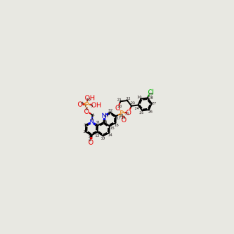 O=c1ccn(COP(=O)(O)O)c2c1ccc1cc(P3(=O)OCCC(c4cccc(Cl)c4)O3)cnc12